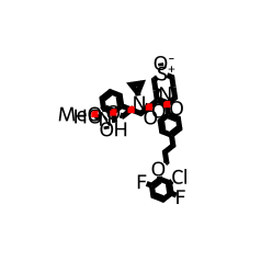 COc1cccc(CN(C(=O)C2=C(c3ccc(CCCOc4c(F)ccc(F)c4Cl)cc3)CC3C[S+]([O-])CC2N3C(=O)OCCCCON(O)O)C2CC2)c1C